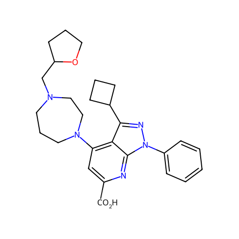 O=C(O)c1cc(N2CCCN(CC3CCCO3)CC2)c2c(C3CCC3)nn(-c3ccccc3)c2n1